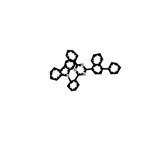 c1ccc(-c2nc(-c3ccccc3-n3c4ccccc4c4ccccc43)nc(-c3ccc(-c4ccccc4)c4ccccc34)n2)cc1